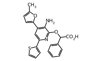 Cc1ccc(-c2cc(-c3cccs3)nc(OC(C(=O)O)c3ccccc3)c2N)o1